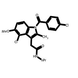 CCCNC(=O)Cc1c(C)n(C(=O)c2ccc(Cl)cc2)c2ccc(OC)c(Cl)c12